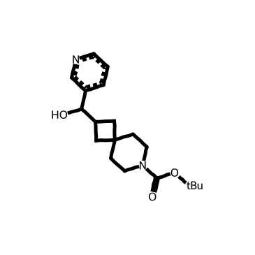 CC(C)(C)OC(=O)N1CCC2(CC1)CC(C(O)c1cccnc1)C2